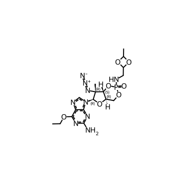 CCOc1nc(N)nc2c1ncn2[C@@H]1O[C@@H]2COP(=O)(NCC3OC(C)O3)O[C@H]2[C@@]1(C)N=[N+]=[N-]